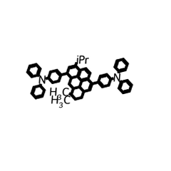 CC(C)C1=CC(C2=CCC(N(c3ccccc3)C3C=CC=CC3)CC2)C2CC3C4c5c(ccc1c52)C(C1=CCC(N(c2ccccc2)c2ccccc2)C=C1)=CC4CCC3(C)C